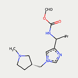 CC(C)C(NC(=O)OC=O)c1cn(C[C@@H]2CCN(C)C2)cn1